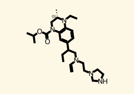 C=CN(CCN1CCNC1)CC(CC)c1ccc2c(c1)N(C(=O)OC(C)C)C[C@H](C)N2CC